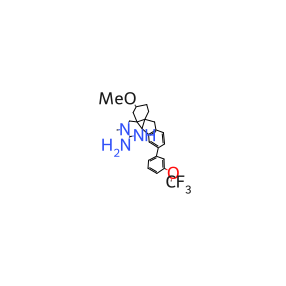 COC1CCC23Cc4ccc(-c5cccc(OC(F)(F)F)c5)cc4C24NC(N)N(C)CC34C1